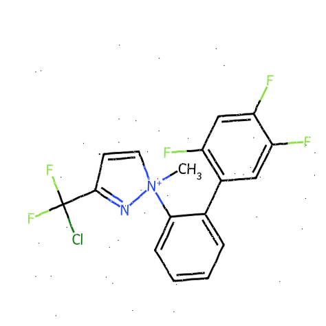 C[N+]1(c2ccccc2-c2cc(F)c(F)cc2F)C=[C]C(C(F)(F)Cl)=N1